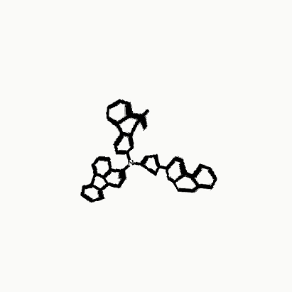 CC1(C)c2ccccc2-c2ccc(N(c3ccc(-c4ccc5c(ccc6ccccc65)c4)cc3)c3ccc4c5c(cccc35)-c3ccccc3-4)cc21